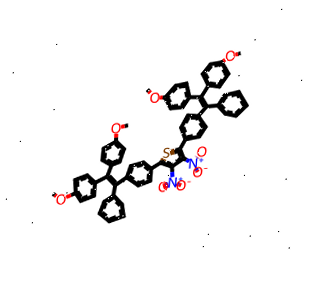 COc1ccc(C(=C(c2ccccc2)c2ccc(-c3sc(-c4ccc(C(=C(c5ccc(OC)cc5)c5ccc(OC)cc5)c5ccccc5)cc4)c([N+](=O)[O-])c3[N+](=O)[O-])cc2)c2ccc(OC)cc2)cc1